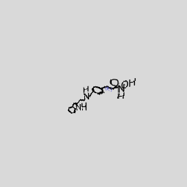 O=C(/C=C/c1ccc(CNCCc2cc3ccccc3[nH]2)cc1)NO